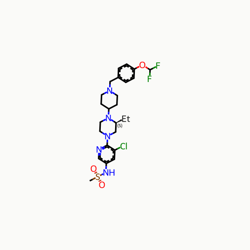 CC[C@H]1CN(c2ncc(NS(C)(=O)=O)cc2Cl)CCN1C1CCN(Cc2ccc(OC(F)F)cc2)CC1